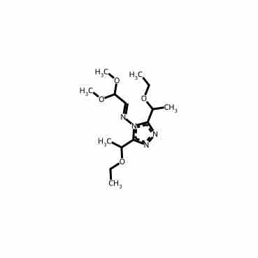 CCOC(C)c1nnc(C(C)OCC)n1N=CC(OC)OC